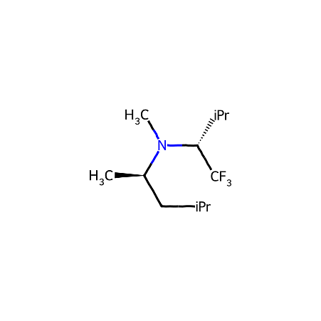 CC(C)C[C@@H](C)N(C)[C@H](C(C)C)C(F)(F)F